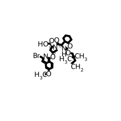 C=CCC(C)(C)COC(=O)N[C@H](C(=O)N1C[C@H](Oc2nc(Br)cc3cc(OC)ccc23)C[C@H]1C(=O)O)C1CCCCC1